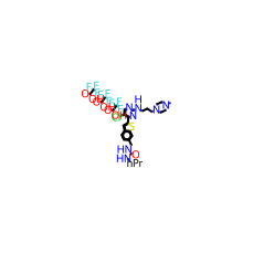 CCCNC(=O)NCc1ccc2cc(-c3nc(NCCCN4CCN(C)CC4)ncc3Cl)sc2c1.O=C(O)C(F)(F)F.O=C(O)C(F)(F)F.O=C(O)C(F)(F)F